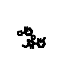 CCc1nc(-c2cccc(C)n2)c(Oc2ccnc(Cl)c2)s1